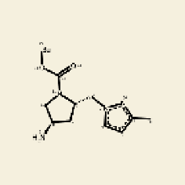 Cc1ccn(C[C@@H]2C[C@@H](N)CN2C(=O)OC(C)(C)C)n1